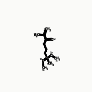 C=C(C)C(=O)CCC[Si](C)(OC)OC